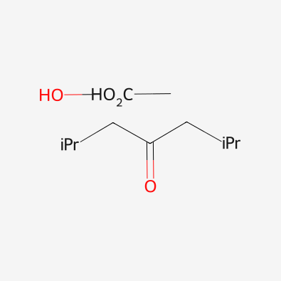 CC(=O)O.CC(C)CC(=O)CC(C)C.CO